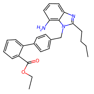 CCCCc1nc2cccc(N)c2n1Cc1ccc(-c2ccccc2C(=O)OCC)cc1